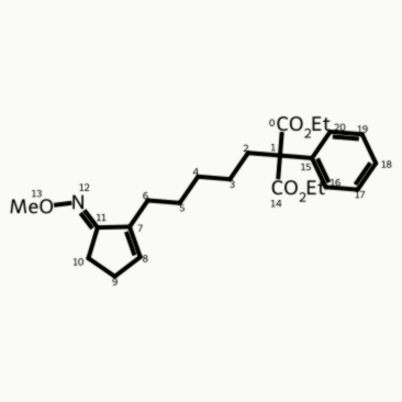 CCOC(=O)C(CCCCCC1=CCCC1=NOC)(C(=O)OCC)c1ccccc1